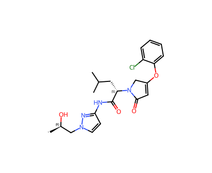 [CH2][C@@H](O)Cn1ccc(NC(=O)[C@H](CC(C)C)N2CC(Oc3ccccc3Cl)=CC2=O)n1